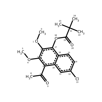 COc1c(OC)c(C(C)=O)c2cc(Cl)ccc2c1OC(=O)C(C)(C)C